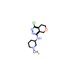 CN1CCCC(Nc2nnc(Cl)c3c2COCC3)C1